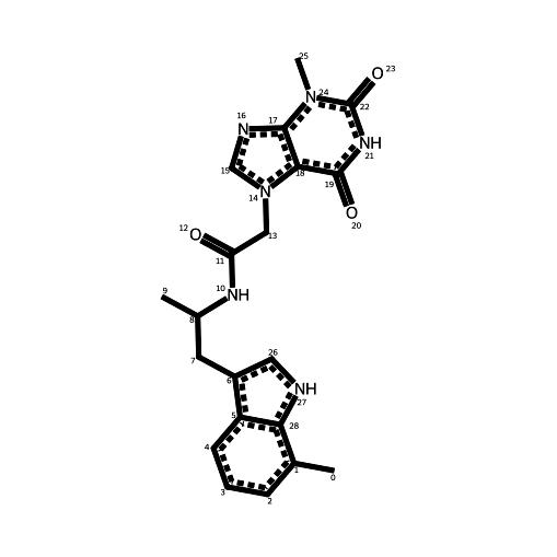 Cc1cccc2c(CC(C)NC(=O)Cn3cnc4c3c(=O)[nH]c(=O)n4C)c[nH]c12